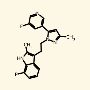 Cc1cc(-c2cncc(F)c2)n(CCc2c(C)[nH]c3c(F)cccc23)n1